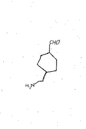 NCC1CCC(C=O)CC1